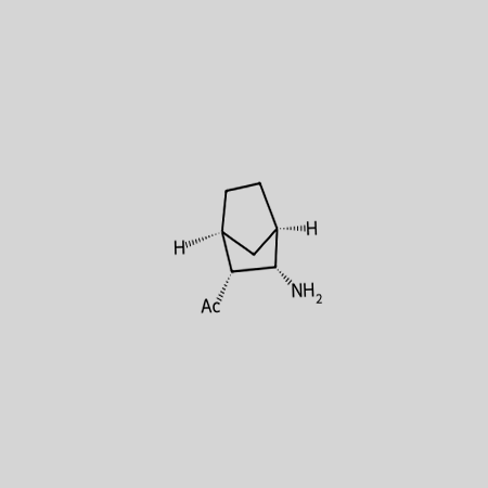 CC(=O)[C@@H]1[C@H]2CC[C@H](C2)[C@@H]1N